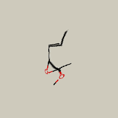 CC=CC1OC1(C)OC